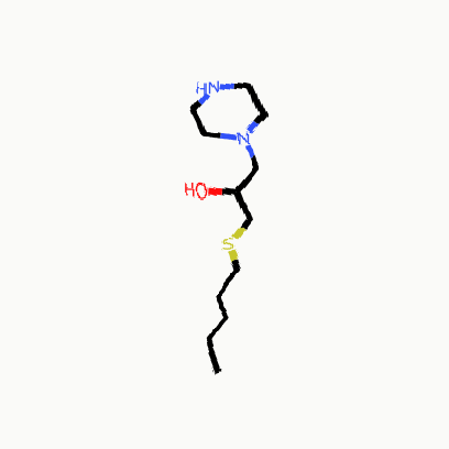 CCCCCSCC(O)CN1CCNCC1